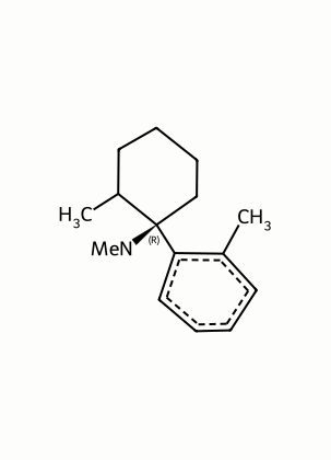 CN[C@]1(c2ccccc2C)CCCCC1C